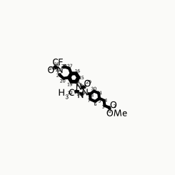 COC(=O)CCC1CCC(n2nc(C)n(-c3ccc4c(c3)CCN(C(=O)C(F)(F)F)CC4)c2=O)CC1